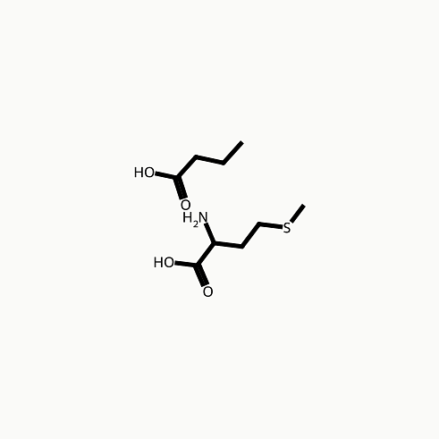 CCCC(=O)O.CSCCC(N)C(=O)O